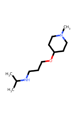 CC(C)NCCCOC1CCN(C)CC1